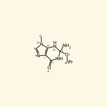 CCCOC1(N)NC(=O)c2ncn(C)c2N1